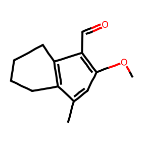 COc1cc(C)c2c(c1C=O)CCCC2